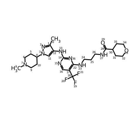 Cc1nn(C2CCN(C)CC2)cc1Nc1ncc(C(F)(F)F)c(NCCCNC(=O)C2CCOCC2)n1